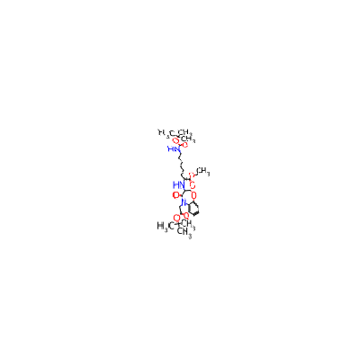 CCOC(=O)[C@H](CCCCCCNC(=O)OC(C)(C)C)NC1COc2ccccc2N(CC(=O)OC(C)(C)C)C1=O